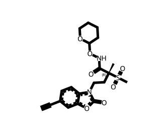 C#Cc1ccc2c(c1)oc(=O)n2CC[C@](C)(C(=O)NOC1CCCCO1)S(C)(=O)=O